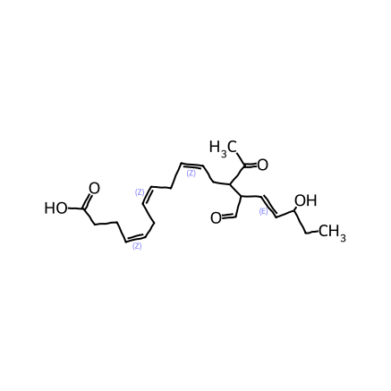 CCC(O)/C=C/C(C=O)C(C/C=C\C/C=C\C/C=C\CCC(=O)O)C(C)=O